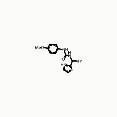 COc1ccc(NC(=O)NC(c2ncc[nH]2)C(C)C)cc1